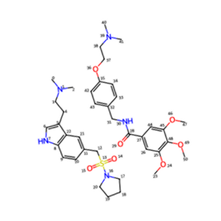 CN(C)CCc1c[nH]c2ccc(CS(=O)(=O)N3CCCC3)cc12.COc1cc(C(=O)NCc2ccc(OCCN(C)C)cc2)cc(OC)c1OC